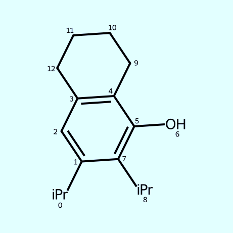 CC(C)c1cc2c(c(O)c1C(C)C)CCCC2